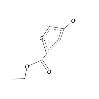 CCOC(=O)c1cc([O])cs1